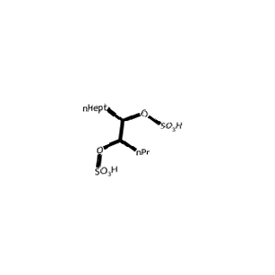 CCCCCCCC(OS(=O)(=O)O)C(CCC)OS(=O)(=O)O